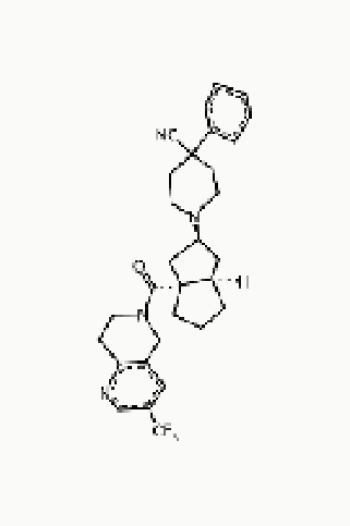 N#CC1(c2ccccc2)CCN([C@H]2C[C@H]3CCC[C@@]3(C(=O)N3CCc4ncc(C(F)(F)F)cc4C3)C2)CC1